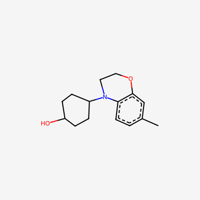 Cc1ccc2c(c1)OCCN2C1CCC(O)CC1